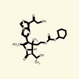 C[C@@H](O)[C@H]1C(=O)N2C(C(=O)O)=C(c3cn4cnc(C(=O)CO)c4s3)C(C)(CCOC(=O)OC3CCCCC3)[C@@H]12